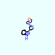 c1ccc2c(-c3ccnc(N4CCC5OCCC54)c3)n[nH]c2c1